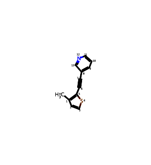 Cc1ccsc1C#Cc1cccnc1